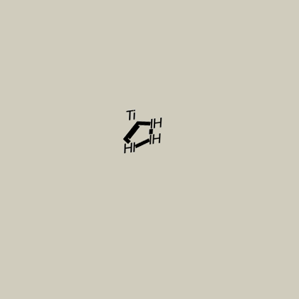 C1=C[IH][IH][IH]1.[Ti]